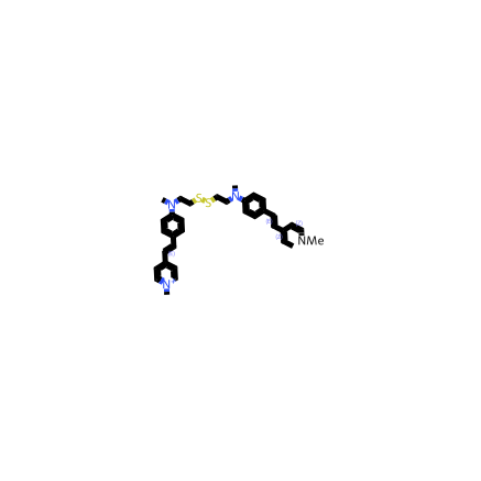 C/C=C(\C=C/NC)/C=C/c1ccc(N(C)CCSSCCN(C)c2ccc(/C=C/c3cc[n+](C)cc3)cc2)cc1